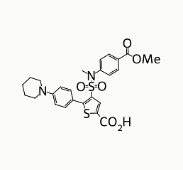 COC(=O)c1ccc(N(C)S(=O)(=O)c2cc(C(=O)O)sc2-c2ccc(N3CCCCC3)cc2)cc1